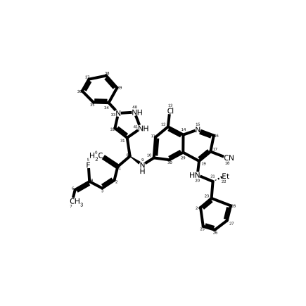 C=C(/C=C\C(F)=C/C)[C@H](Nc1cc(Cl)c2ncc(C#N)c(N[C@H](CC)c3ccccc3)c2c1)C1=CN(c2ccccc2)NN1